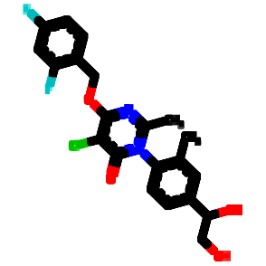 Cc1cc(C(O)CO)ccc1-n1c(C)nc(OCc2ccc(F)cc2F)c(Cl)c1=O